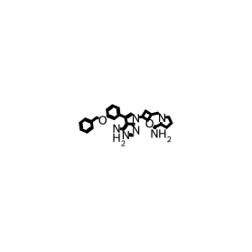 NC(=O)C1CCCN1CC1CC(n2cc(-c3cccc(OCc4ccccc4)c3)c3c(N)ncnc32)C1